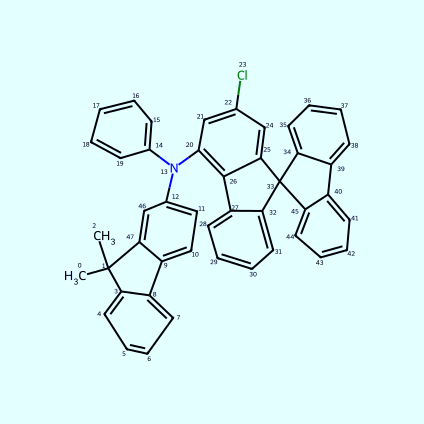 CC1(C)c2ccccc2-c2ccc(N(c3ccccc3)c3cc(Cl)cc4c3-c3ccccc3C43c4ccccc4-c4ccccc43)cc21